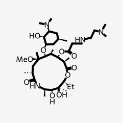 CC[C@H]1OC(=O)[C@H](C)[C@@H](OC(=O)CCNCCN(C)C)[C@H](C)[C@@H](O[C@@H]2C[C@H](C)C[C@H](N(C)C)[C@H]2O)[C@](C)(OC)C[C@@H](C)C(=O)N[C@H](C)[C@@H](O)[C@]1(C)O